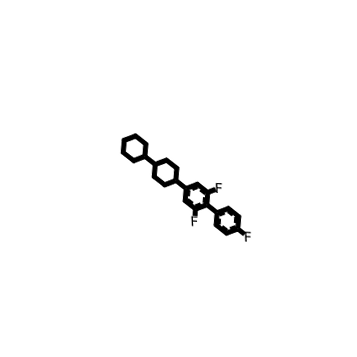 Fc1ccc(-c2c(F)cc(C3CCC(C4CCCCC4)CC3)cc2F)cc1